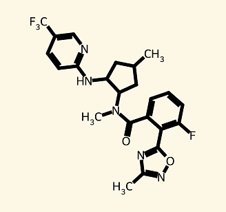 Cc1noc(-c2c(F)cccc2C(=O)N(C)C2CC(C)CC2Nc2ccc(C(F)(F)F)cn2)n1